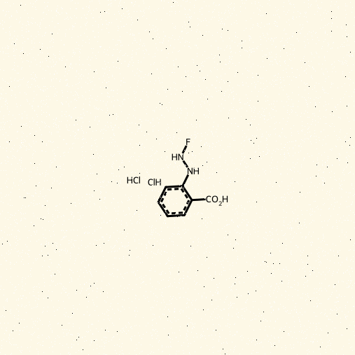 Cl.Cl.O=C(O)c1ccccc1NNF